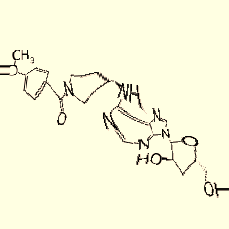 COc1ccc(C(=O)N2CC[C@@H](Nc3ncnc4c3ncn4[C@@H]3O[C@H](CO)C[C@H]3O)C2)cc1